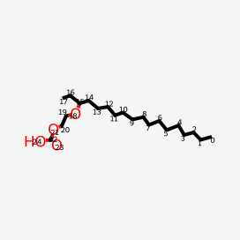 CCCCCCCCCCCCCCCC(CC)OCCOC(=O)O